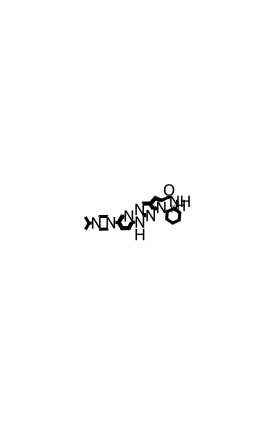 CC(C)N1CCN(c2ccc(Nc3ncc4cc5n(c4n3)C3CCCC[C@@H]3NC5=O)nc2)CC1